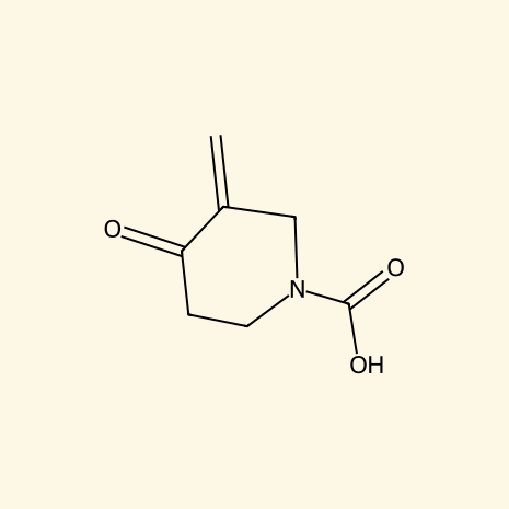 C=C1CN(C(=O)O)CCC1=O